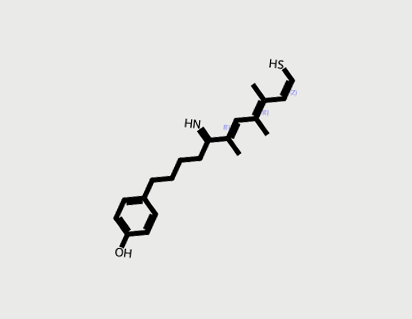 C\C(=C/C(C)=C(C)/C=C\S)C(=N)CCCCc1ccc(O)cc1